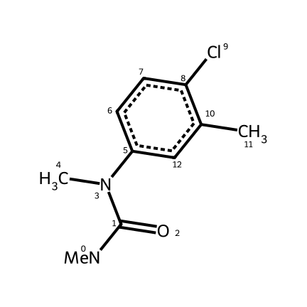 CNC(=O)N(C)c1ccc(Cl)c(C)c1